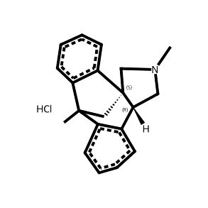 CN1C[C@@H]2c3ccccc3C3(C)C[C@@]2(C1)c1ccccc13.Cl